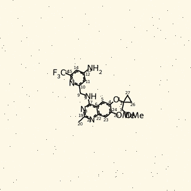 COCC1(Oc2cc3c(NCc4cc(N)cc(C(F)(F)F)n4)nc(C)nc3cc2OC)CC1